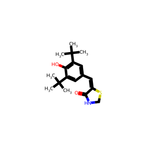 CC(C)(C)c1cc(C=C2SCNC2=O)cc(C(C)(C)C)c1O